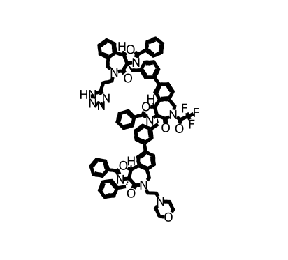 O=C(N1Cc2ccc(-c3cccc(C[C@]45N=C(c6ccccc6)O[C@H]4c4ccccc4CN(CCc4nnn[nH]4)C5=O)c3)cc2[C@@H]2OC(c3ccccc3)=N[C@]2(Cc2cccc(-c3ccc4c(c3)[C@@H]3OC(c5ccccc5)=N[C@]3(Cc3ccccc3)C(=O)N(CCN3CCOCC3)C4)c2)C1=O)C(F)(F)F